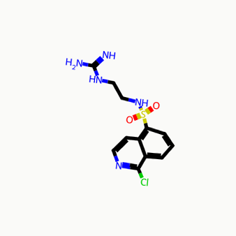 N=C(N)NCCNS(=O)(=O)c1cccc2c(Cl)nccc12